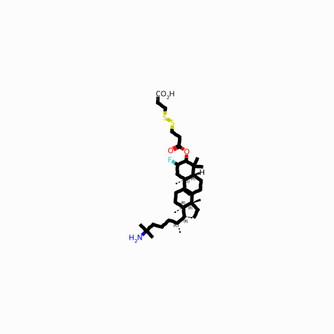 C[C@H](CCCC(C)(C)N)[C@H]1CC[C@@]2(C)C3=C(CC[C@]12C)[C@@]1(C)CC(F)C(OC(=O)CCSSCCC(=O)O)C(C)(C)[C@@H]1CC3